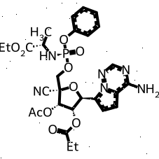 CCOC(=O)[C@H](C)N[P@](=O)(OC[C@@]1(C#N)O[C@@H](c2ccc3c(N)ncnn23)[C@H](OC(=O)CC)[C@@H]1OC(C)=O)Oc1ccccc1